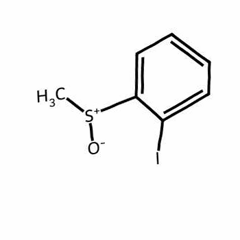 C[S+]([O-])c1ccccc1I